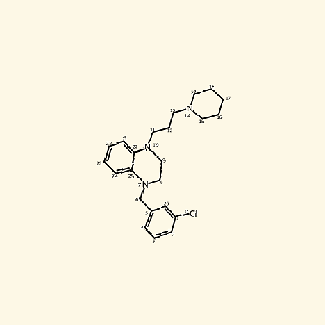 Clc1cccc(CN2CCN(CCCN3CCCCC3)c3ccccc32)c1